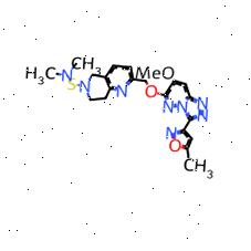 COc1cc2nnc(-c3cc(C)on3)n2nc1OCc1ccc2c(n1)CCN(SN(C)C)C2